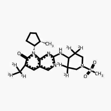 [2H]C([2H])([2H])c1cc2cnc(NC3C([2H])([2H])CN(S(C)(=O)=O)CC3([2H])[2H])nc2n([C@@H]2CCC[C@@H]2C)c1=O